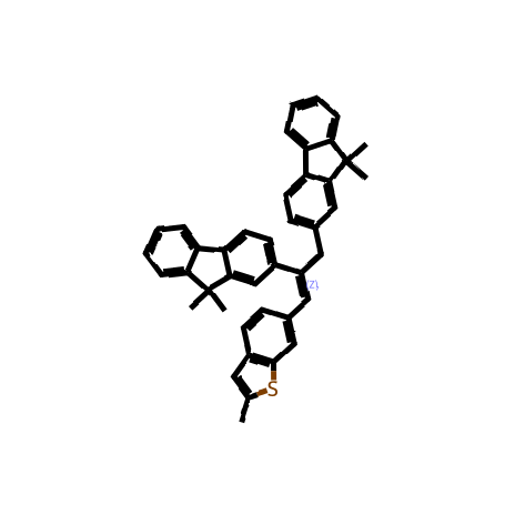 Cc1cc2ccc(/C=C(/Cc3ccc4c(c3)C(C)(C)c3ccccc3-4)c3ccc4c(c3)C(C)(C)c3ccccc3-4)cc2s1